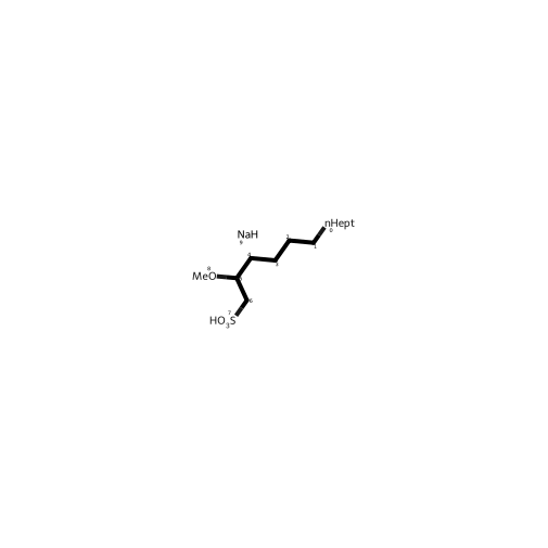 CCCCCCCCCCCC(CS(=O)(=O)O)OC.[NaH]